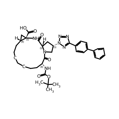 CC(C)(C)OC(=O)N[C@@H]1CCCCCCC[C@@H]2C[C@]2(C(=O)O)NC(=O)[C@@H]2C[C@H](n3nnc(-c4ccc(-c5ccccc5)cc4)n3)CN2C1=O